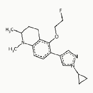 CC1CCc2c(ccc(-c3cnn(C4CC4)c3)c2OCCF)N1C